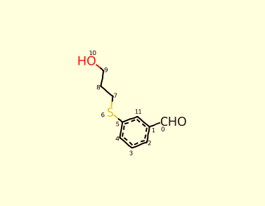 O=Cc1cccc(SCCCO)c1